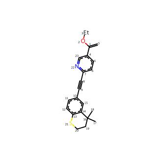 C=C(OCC)c1ccc(C#Cc2ccc3c(c2)C(C)(C)CCS3)nc1